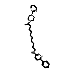 O=C(CCCCCCCCCNc1ccc(-c2ccccc2)nn1)N1CCN(c2ncccn2)CC1